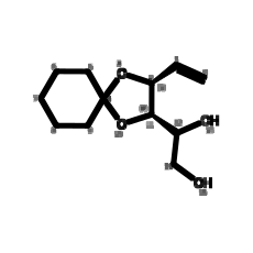 C=C[C@@H]1OC2(CCCCC2)O[C@@H]1C(O)CO